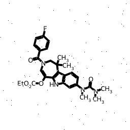 CCOC(=O)OC1=CN(C(=O)c2ccc(F)cc2)CC(C)(C)c2c1[nH]c1cc(N(C)C(=O)N(C)C)ccc21